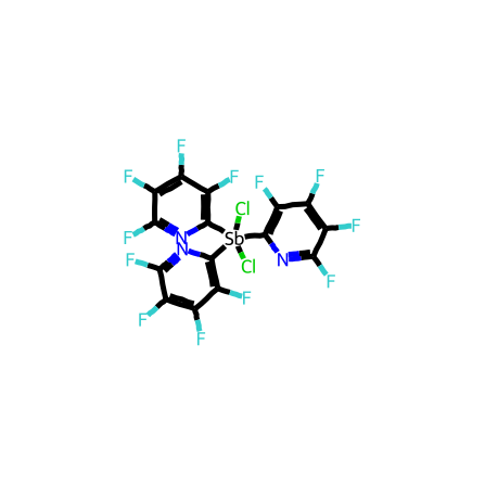 Fc1n[c]([Sb]([Cl])([Cl])([c]2nc(F)c(F)c(F)c2F)[c]2nc(F)c(F)c(F)c2F)c(F)c(F)c1F